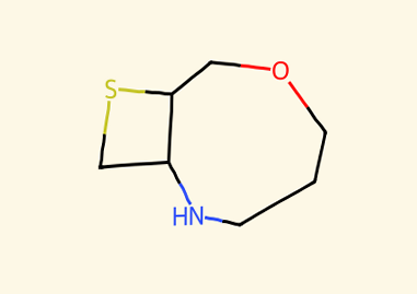 C1CNC2CSC2COC1